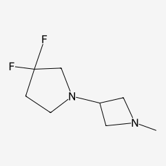 CN1CC(N2CCC(F)(F)C2)C1